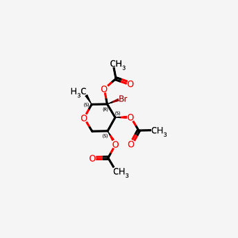 CC(=O)O[C@H]1CO[C@@H](C)[C@](Br)(OC(C)=O)[C@H]1OC(C)=O